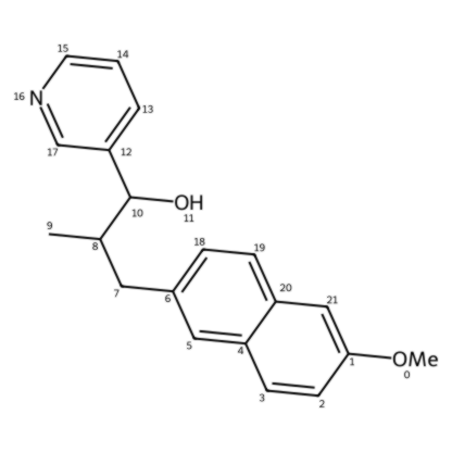 COc1ccc2cc(CC(C)C(O)c3cccnc3)ccc2c1